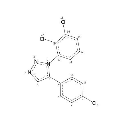 Clc1ccc(-c2[c]nnn2-c2cccc(Cl)c2Cl)cc1